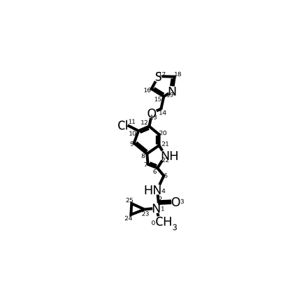 CN(C(=O)NCc1cc2cc(Cl)c(OCc3cscn3)cc2[nH]1)C1CC1